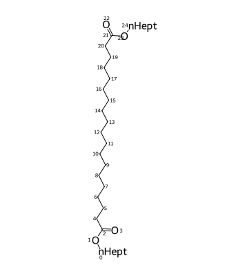 CCCCCCCOC(=O)CCCCCCCCCCCCCCCCCC(=O)OCCCCCCC